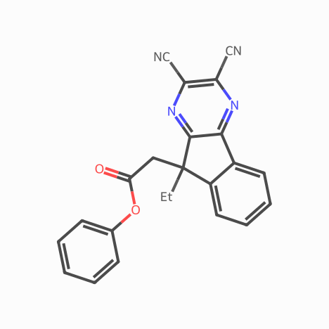 CCC1(CC(=O)Oc2ccccc2)c2ccccc2-c2nc(C#N)c(C#N)nc21